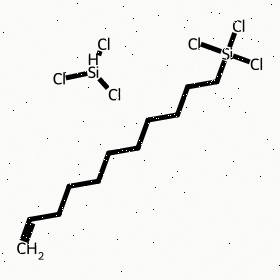 C=CCCCCCCCCC[Si](Cl)(Cl)Cl.Cl[SiH](Cl)Cl